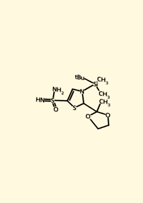 CC1(C2SC(S(=N)(N)=O)=CN2[Si](C)(C)C(C)(C)C)OCCO1